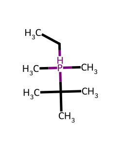 CC[PH](C)(C)C(C)(C)C